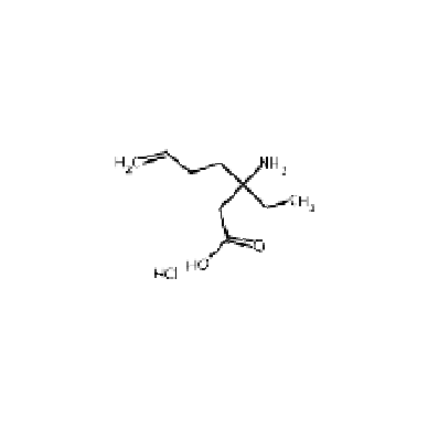 C=CCCC(N)(CC)CC(=O)O.Cl